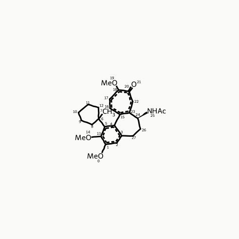 COc1cc2c(c(C3(C)CCCCC3)c1OC)-c1ccc(OC)c(=O)cc1[C@@H](NC(C)=O)CC2